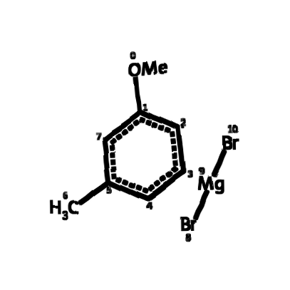 COc1[c]ccc(C)c1.[Br][Mg][Br]